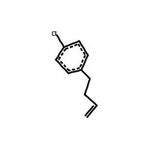 C=CCCc1ccc(Cl)cc1